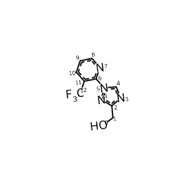 OCc1ncn(-c2ncccc2C(F)(F)F)n1